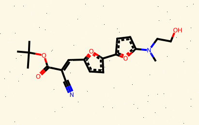 CN(CCO)c1ccc(-c2ccc(/C=C(\C#N)C(=O)OC(C)(C)C)o2)o1